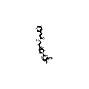 O=C(/C=C/c1cccnc1)NCCC1C2CN(c3ncc(F)c(O)n3)CC12